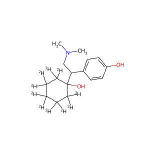 [2H]C1([2H])C([2H])([2H])C([2H])([2H])C(O)(C(CN(C)C)c2ccc(O)cc2)C([2H])([2H])C1([2H])[2H]